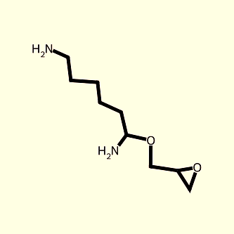 NCCCCCC(N)OCC1CO1